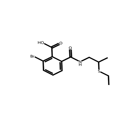 CCSC(C)CNC(=O)c1cccc(Br)c1C(=O)O